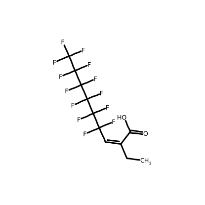 CCC(=CC(F)(F)C(F)(F)C(F)(F)C(F)(F)C(F)(F)C(F)(F)F)C(=O)O